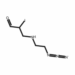 [N-]=[N+]=NCCNCC(I)C=O